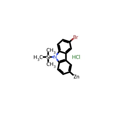 C[Si](C)(C)n1c2cc[c]([Zn])cc2c2cc(Br)ccc21.Cl